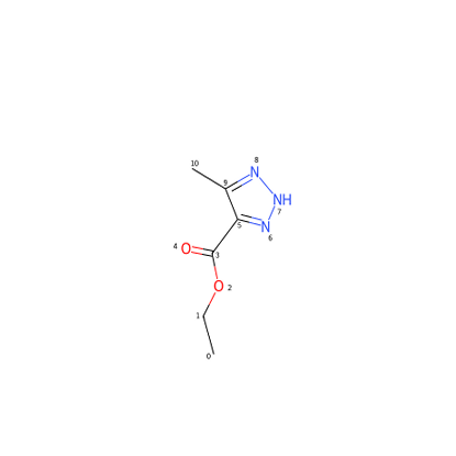 CCOC(=O)c1n[nH]nc1C